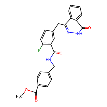 COC(=O)c1ccc(CNC(=O)c2cc(Cc3n[nH]c(=O)c4ccccc34)ccc2F)cc1